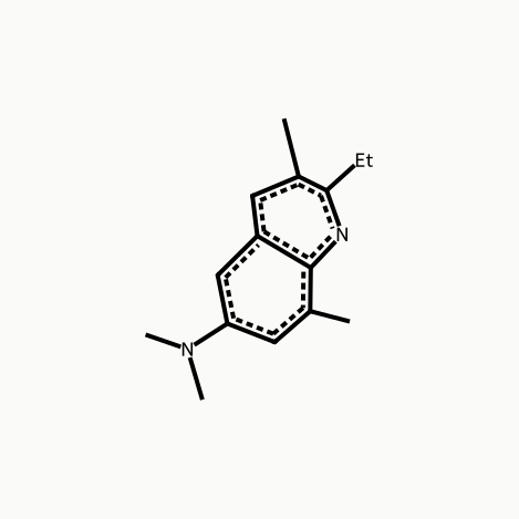 CCc1nc2c(C)cc(N(C)C)cc2cc1C